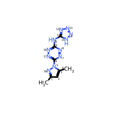 Cc1cc(C)n(-c2nnc(Nc3nnn[nH]3)nn2)n1